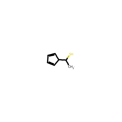 [CH2]C(S)C1C=CC=C1